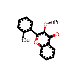 CCCOc1c(-c2ccccc2C(C)(C)C)oc2ccccc2c1=O